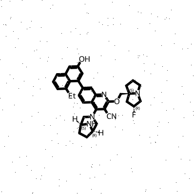 CCc1cccc2cc(O)cc(-c3ccc4c(N5C[C@H]6CC[C@@H](C5)N6)c(C#N)c(OC[C@@]56CCCN5C[C@H](F)C6)nc4c3)c12